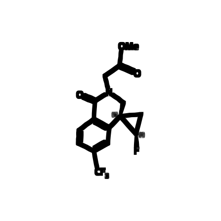 COC(=O)CN1C[C@]2(C[C@H]2F)c2cc(C(F)(F)F)ccc2C1=O